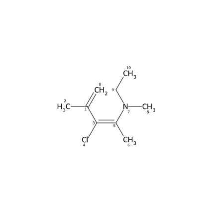 C=C(C)/C(Cl)=C(/C)N(C)CC